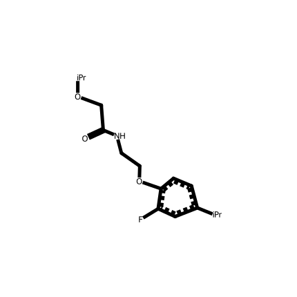 CC(C)OCC(=O)NCCOc1ccc(C(C)C)cc1F